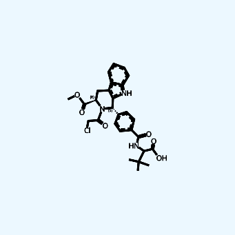 COC(=O)[C@H]1Cc2c([nH]c3ccccc23)[C@H](c2ccc(C(=O)NC(C(=O)O)C(C)(C)C)cc2)N1C(=O)CCl